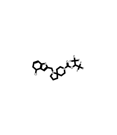 O=C(OC(C(F)(F)F)C(F)(F)F)N1CCC2(CCCN2Cc2cc3c(s2)C=CCC3Cl)CC1